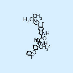 Cc1cc(Oc2ccccc2F)ccc1-n1ncc(C(=O)c2cc3cc(C4CCN(C(C)C)CC4)c(F)cc3[nH]2)c1N